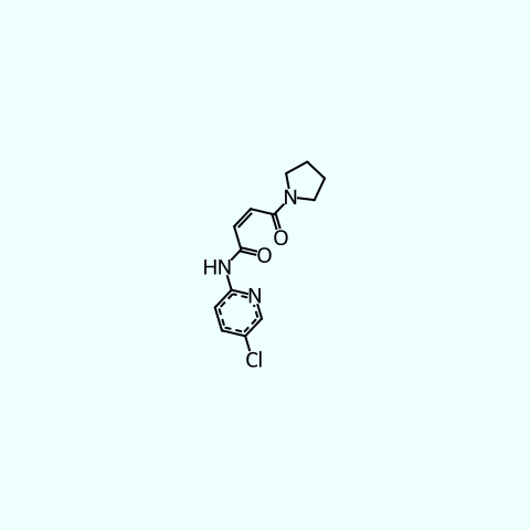 O=C(/C=C\C(=O)N1CCCC1)Nc1ccc(Cl)cn1